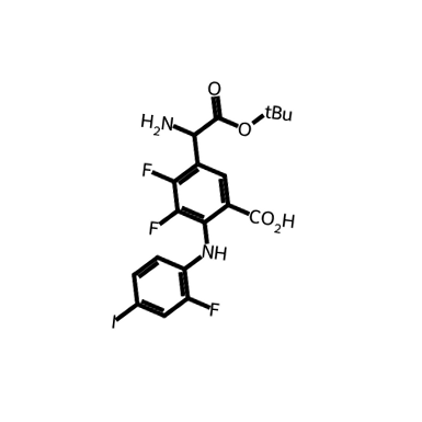 CC(C)(C)OC(=O)C(N)c1cc(C(=O)O)c(Nc2ccc(I)cc2F)c(F)c1F